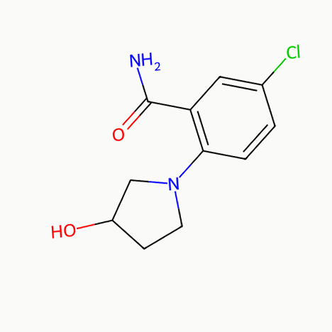 NC(=O)c1cc(Cl)ccc1N1CCC(O)C1